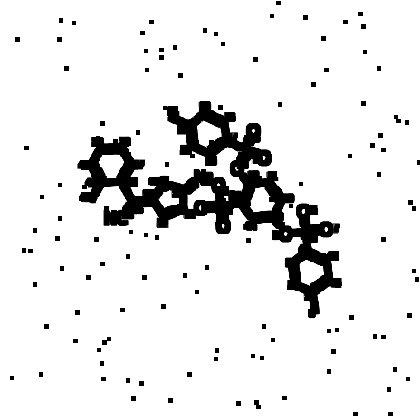 Cc1ccc(S(=O)(=O)Oc2ccc(OS(=O)(=O)c3ccc(C)cc3)c(S(=O)(=O)ON=C3C=CC(=C(C#N)c4ccccc4C)S3)c2)cc1